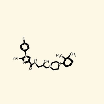 CCCc1nc(C(=O)NCC(O)CN2CCN(c3cccc(C)c3C)CC2)cn1-c1ccc(F)cc1